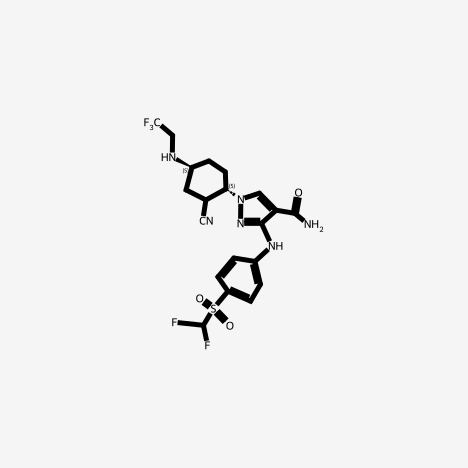 N#CC1C[C@@H](NCC(F)(F)F)CC[C@@H]1n1cc(C(N)=O)c(Nc2ccc(S(=O)(=O)C(F)F)cc2)n1